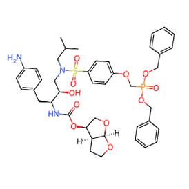 CC(C)CN(C[C@@H](O)[C@H](Cc1ccc(N)cc1)NC(=O)O[C@H]1CO[C@H]2OCC[C@H]21)S(=O)(=O)c1ccc(OCP(=O)(OCc2ccccc2)OCc2ccccc2)cc1